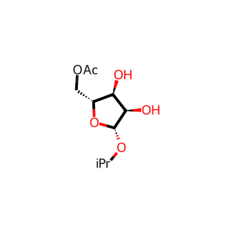 CC(=O)OC[C@H]1O[C@@H](OC(C)C)[C@H](O)[C@@H]1O